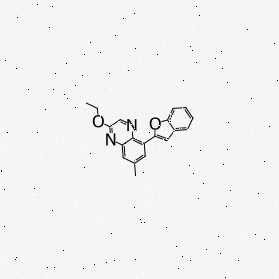 CCOc1cnc2c(-c3cc4ccccc4o3)cc(C)cc2n1